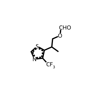 CC(COC=O)c1scnc1C(F)(F)F